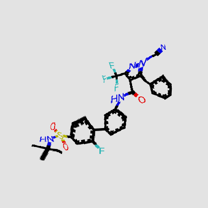 CC(C)(C)NS(=O)(=O)c1ccc(-c2cccc(NC(=O)c3c(C(F)(F)F)nn(C#N)c3-c3ccccc3)c2)c(F)c1